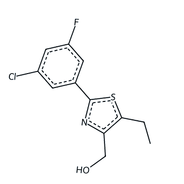 CCc1sc(-c2cc(F)cc(Cl)c2)nc1CO